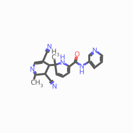 CC1=NC=C(C#N)C(C2(C)C=CC=C(C(=O)Nc3cccnc3)N2)C1C#N